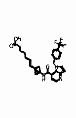 O=C(O)CCCCCCC12CC(NC(=O)c3ccnc4ccn(Cc5ccc(C(F)(F)F)cc5)c34)(C1)C2